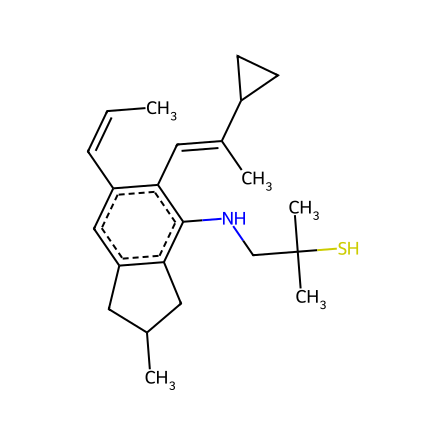 C/C=C\c1cc2c(c(NCC(C)(C)S)c1/C=C(\C)C1CC1)CC(C)C2